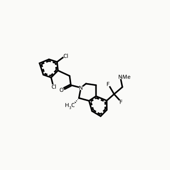 CNCC(F)(F)c1cccc2c1CCN(C(=O)Cc1c(Cl)cccc1Cl)[C@H]2C